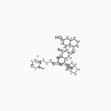 C[C@H]1COC[C@H](C)N1CCCOc1nc(N2CC3CCC(C2)N3)c2cc(Cl)c(-c3cc(O)cc4ccccc34)c(F)c2n1